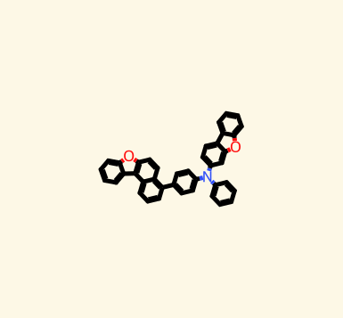 c1ccc(N(c2ccc(-c3cccc4c3ccc3oc5ccccc5c34)cc2)c2ccc3c(c2)oc2ccccc23)cc1